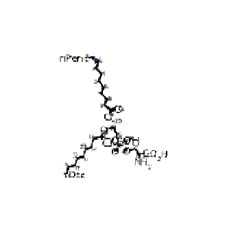 CCCCC/C=C\CCCCCCCC(=O)OC[C@H](COP(=O)(O)OC[C@H](N)C(=O)O)OC(=O)CCCCCCCCCCCCCCCCC